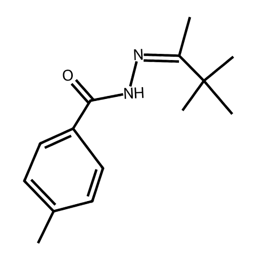 CC(=NNC(=O)c1ccc(C)cc1)C(C)(C)C